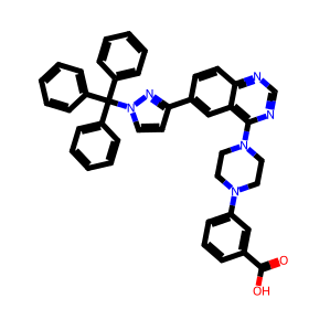 O=C(O)c1cccc(N2CCN(c3ncnc4ccc(-c5ccn(C(c6ccccc6)(c6ccccc6)c6ccccc6)n5)cc34)CC2)c1